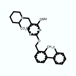 COc1nc(OCc2cccc(-c3ccccc3F)c2C)ncc1CN1CCCCC1C(=O)O